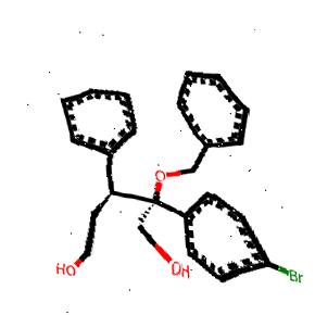 OCC[C@@H](c1ccccc1)[C@@](CO)(OCc1ccccc1)c1ccc(Br)cc1